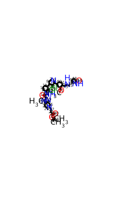 COc1cc(-c2nccc(-c3cccc(NC(=O)c4nc5c(n4C)CCN(CCC(=O)OC(C)C)C5)c3Cl)c2Cl)ccc1CNC[C@@H]1CCC(=O)N1